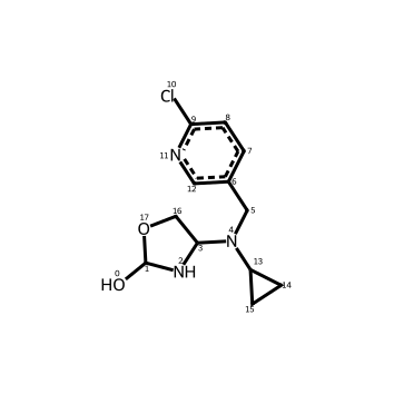 OC1NC(N(Cc2ccc(Cl)nc2)C2CC2)CO1